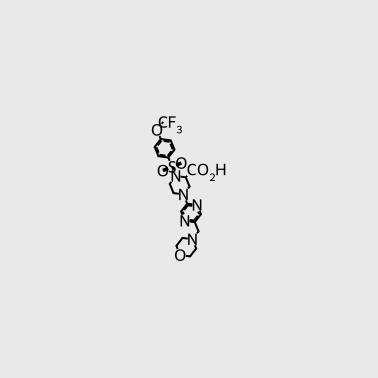 O=C(O)[C@H]1CN(c2cnc(CN3CCOCC3)cn2)CCN1S(=O)(=O)c1ccc(OC(F)(F)F)cc1